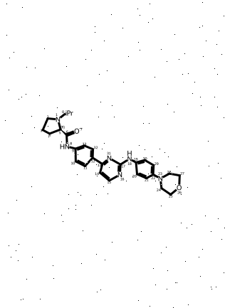 CC(C)N1CCC[C@@H]1C(=O)Nc1ccc(-c2ccnc(Nc3ccc(N4CCOCC4)cc3)n2)cc1